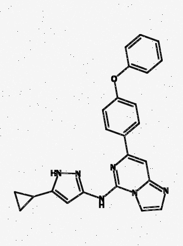 c1ccc(Oc2ccc(-c3cc4nccn4c(Nc4cc(C5CC5)[nH]n4)n3)cc2)cc1